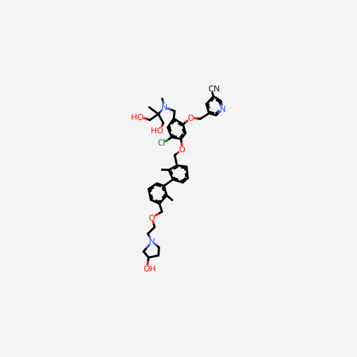 Cc1c(COCCN2CCC(O)C2)cccc1-c1cccc(COc2cc(OCc3cncc(C#N)c3)c(CN(C)C(C)(CO)CO)cc2Cl)c1C